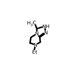 CCN1CCN2C(=NNC2C)C1